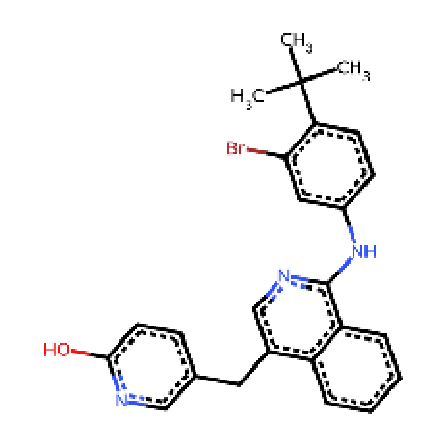 CC(C)(C)c1ccc(Nc2ncc(Cc3ccc(O)nc3)c3ccccc23)cc1Br